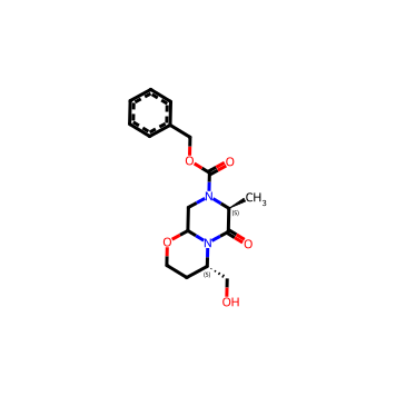 C[C@H]1C(=O)N2C(CN1C(=O)OCc1ccccc1)OCC[C@H]2CO